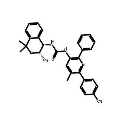 Cc1cc(NC(=O)N[C@@H]2c3ccccc3C(C)(C)C[C@H]2O)c(-c2ccccc2)nc1-c1ccc(C#N)cc1